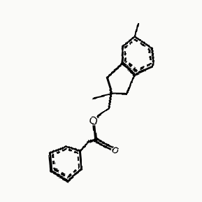 Cc1ccc2c(c1)CC(C)(COC(=O)c1ccccc1)C2